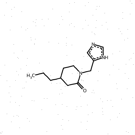 CCCC1CCN(Cc2cnc[nH]2)C(=O)C1